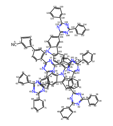 N#Cc1cccc(-c2ccc(-c3nc(-c4ccccc4)nc(-c4ccc(C#N)cc4-n4c5ccc(-c6nc(-c7ccccc7)nc(-c7ccccc7)n6)cc5c5cc(-c6nc(-c7ccccc7)nc(-c7ccccc7)n6)ccc54)n3)c(-n3c4ccc(-c5nc(-c6ccccc6)nc(-c6ccccc6)n5)cc4c4cc(-c5nc(-c6ccccc6)nc(-c6ccccc6)n5)ccc43)c2)c1